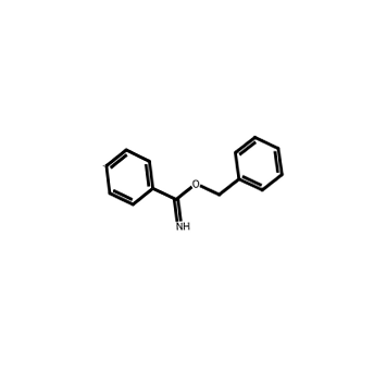 N=C(OCc1ccccc1)c1cc[c]cc1